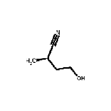 C[C@@H](C#N)CCO